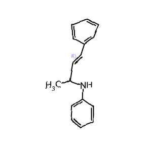 CC(/C=C/c1ccccc1)Nc1ccccc1